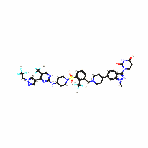 Cn1nc(N2CCC(=O)NC2=O)c2ccc(C3CCN(Cc4cccc(S(=O)(=O)N5CCC(Nc6ncc(C(F)(F)F)c(-c7cnn(CC(F)(F)F)c7)n6)CC5)c4C(F)(F)F)CC3)cc21